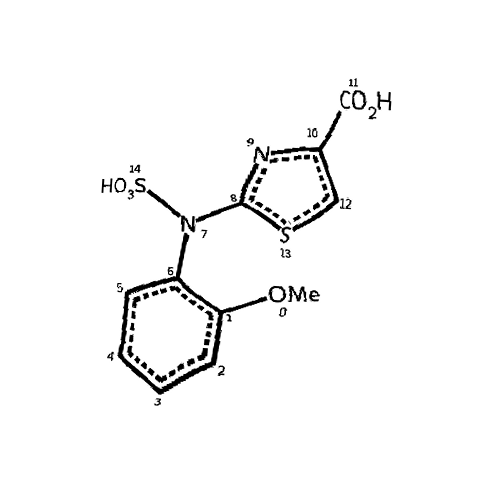 COc1ccccc1N(c1nc(C(=O)O)cs1)S(=O)(=O)O